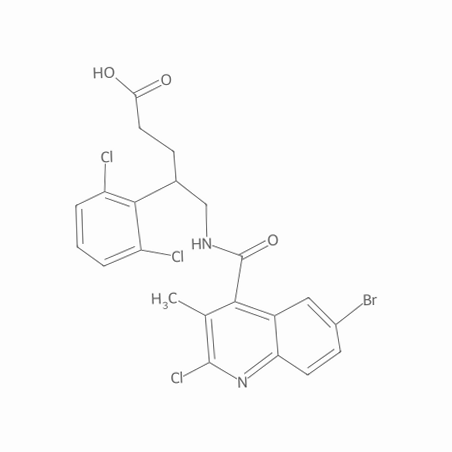 Cc1c(Cl)nc2ccc(Br)cc2c1C(=O)NCC(CCC(=O)O)c1c(Cl)cccc1Cl